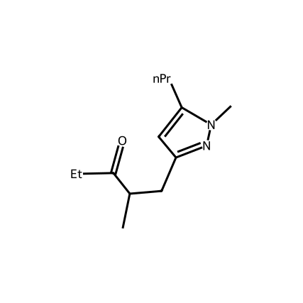 CCCc1cc(CC(C)C(=O)CC)nn1C